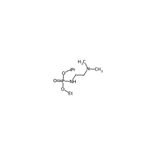 CCOP(=O)(NCCN(C)C)OC(C)C